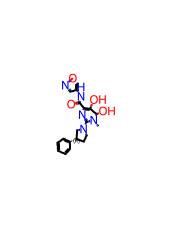 CN1C(N2CC[C@H](c3ccccc3)C2)=NC(C(=O)Nc2cnoc2)=C(O)C1O